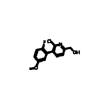 COc1ccc(F)c(-c2ccc(CO)nc2Cl)c1